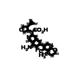 Cc1c(-c2cc3cc(N(C(=O)O)C4COCC4C4CC4)ncc3c(N)c2F)cnc2c1NCCO2